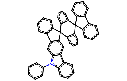 c1ccc(-n2c3ccccc3c3cc4c(cc32)-c2ccccc2C42c3ccccc3C3(c4ccccc4-c4ccccc43)c3ccccc32)cc1